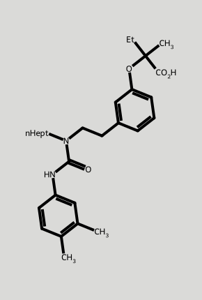 CCCCCCCN(CCc1cccc(OC(C)(CC)C(=O)O)c1)C(=O)Nc1ccc(C)c(C)c1